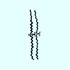 CCCCCCCCCCCCCCCCN(CCCCCCCCCCCCCCCC)C(=S)[S-].CCCCCCCCCCCCCCCCN(CCCCCCCCCCCCCCCC)C(=S)[S-].[Ni+2]